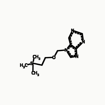 C[Si](C)(C)CCOCn1cnc2ncncc21